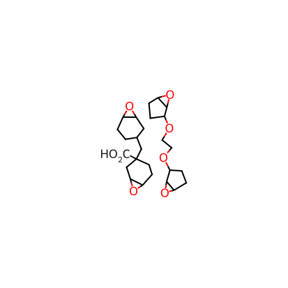 C(COC1CCC2OC12)OC1CCC2OC12.O=C(O)C1(CC2CCC3OC3C2)CCC2OC2C1